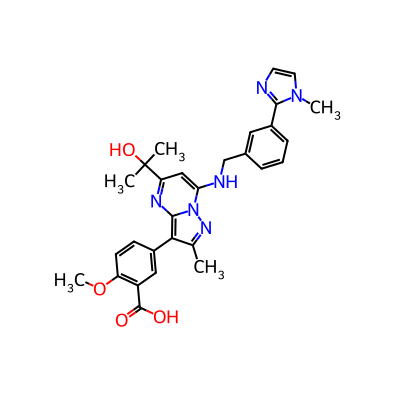 COc1ccc(-c2c(C)nn3c(NCc4cccc(-c5nccn5C)c4)cc(C(C)(C)O)nc23)cc1C(=O)O